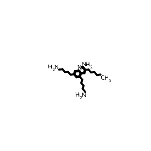 CCCCCCc1cc2c(CCCCCN)cc(CCCCCN)cc2nc1N